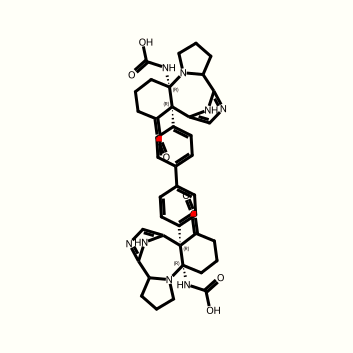 O=C=C1CCC[C@@]2(NC(=O)O)N3CCCC3c3ncc([nH]3)[C@@]12c1ccc(-c2ccc([C@]34C(=C=O)CCC[C@@]3(NC(=O)O)N3CCCC3c3ncc4[nH]3)cc2)cc1